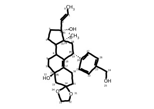 CC=C[C@]1(O)CCC2C3CC[C@@]4(O)CC5(CCC4=C3[C@@H](c3ccc(CO)cc3)C[C@@]21C)OCCO5